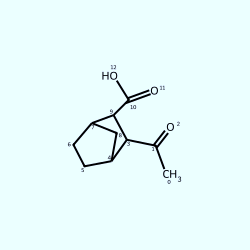 CC(=O)C1C2CCC(C2)C1C(=O)O